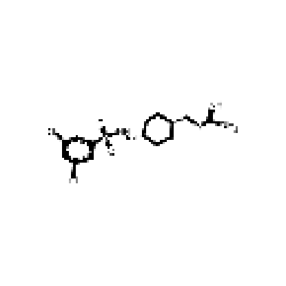 N=C(N)NC[C@H]1CC[C@H](CNS(=O)(=O)c2cc(Cl)cc(Cl)c2)CC1